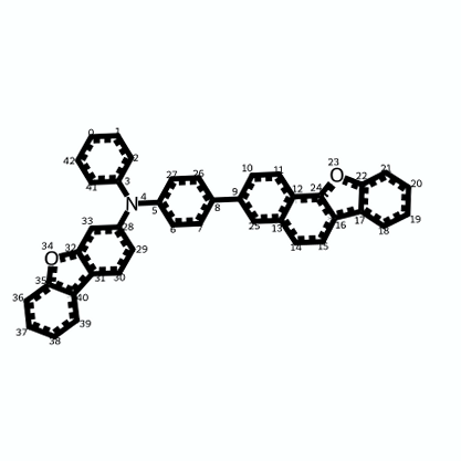 c1ccc(N(c2ccc(-c3ccc4c(ccc5c6ccccc6oc45)c3)cc2)c2ccc3c(c2)oc2ccccc23)cc1